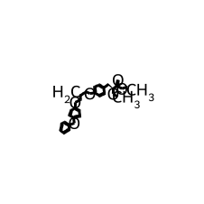 C=C(COc1ccc(C[C@H](OC)C(=O)OCC)cc1)COc1ccc(Oc2ccccc2)cc1